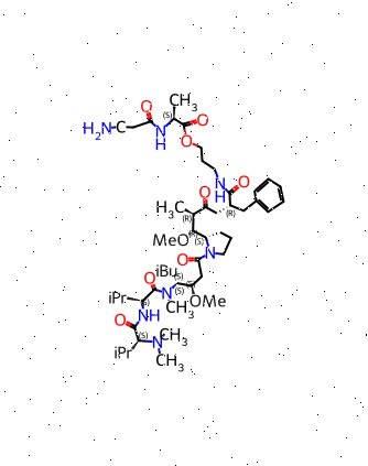 CC[C@H](C)[C@@H]([C@@H](CC(=O)N1CCC[C@H]1[C@H](OC)[C@@H](C)C(=O)C[C@@H](Cc1ccccc1)C(=O)NCCCOC(=O)[C@H](C)NC(=O)CCN)OC)N(C)C(=O)[C@@H](NC(=O)[C@H](C(C)C)N(C)C)C(C)C